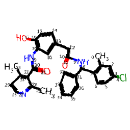 Cc1cc(Cl)ccc1C(NC(=O)Cc1ccc(O)c(NC(=O)c2c(C)ccnc2C)c1)c1ccccc1